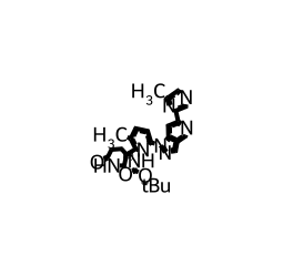 Cc1cncc(-c2cc3c(cn2)cnn3-c2ccc(C)c([C@]3(NC(=O)OC(C)(C)C)CCC(=O)NC3)n2)n1